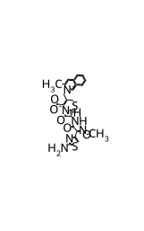 CON=C(C(=O)NC1C(=O)N2C(C(=O)[O-])=C(C[n+]3cc4ccccc4cc3C)CS[C@@H]12)c1csc(N)n1